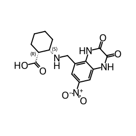 O=C(O)[C@@H]1CCCC[C@@H]1NCc1cc([N+](=O)[O-])cc2[nH]c(=O)c(=O)[nH]c12